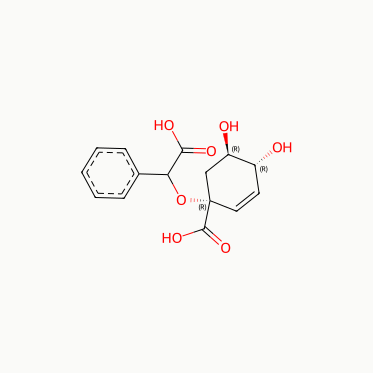 O=C(O)C(O[C@@]1(C(=O)O)C=C[C@@H](O)[C@H](O)C1)c1ccccc1